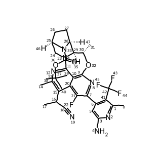 Cc1nc(N)cc(-c2nc3c4c(nc(C)c(C(C)C#N)c4c2F)N2C[C@H]4CC[C@@H]([C@H]2[C@H](C)O3)N4C(=O)OC(C)(C)C)c1C(F)(F)F